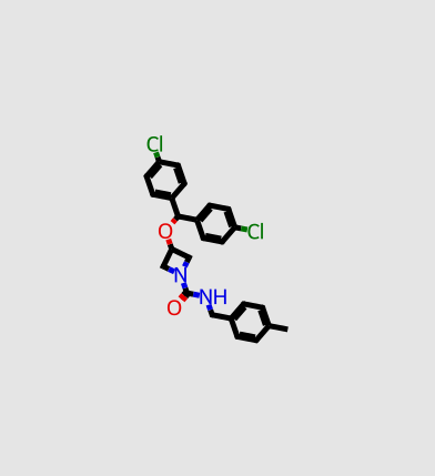 Cc1ccc(CNC(=O)N2CC(OC(c3ccc(Cl)cc3)c3ccc(Cl)cc3)C2)cc1